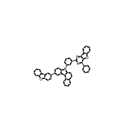 c1ccc(-c2nc(-c3cccc(-n4c5ccc(-c6ccc7oc8ccccc8c7c6)cc5c5c6ccccc6ccc54)c3)nc3c2oc2ccccc23)cc1